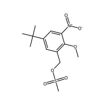 COc1c(COS(C)(=O)=O)cc(C(C)(C)C)cc1[N+](=O)[O-]